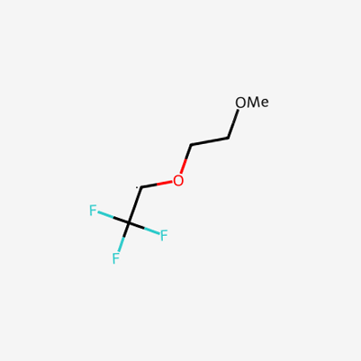 COCCO[CH]C(F)(F)F